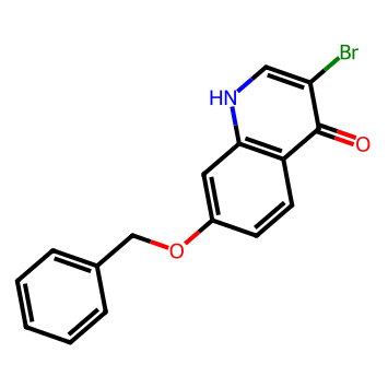 O=c1c(Br)c[nH]c2cc(OCc3ccccc3)ccc12